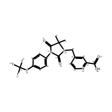 CC1(C)C(=O)N(c2ccc(SC(F)(F)F)cc2)C(=O)N1Cc1ccnc(C(=O)O)c1